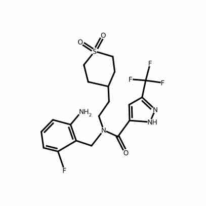 Nc1cccc(F)c1CN(CCC1CCS(=O)(=O)CC1)C(=O)c1cc(C(F)(F)F)n[nH]1